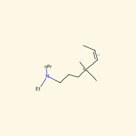 C/C=C\[Si](C)(C)CCCN(CC)CCC